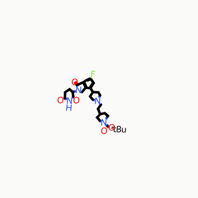 CC(C)(C)OC(=O)N1CCC(CCN2CCC(c3cc(F)cc4c3CN(C3CCC(=O)NC3=O)C4=O)CC2)CC1